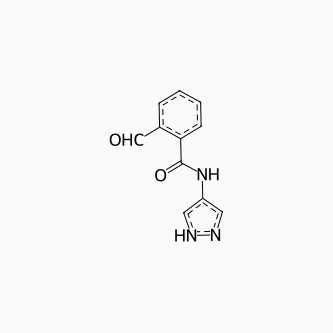 O=Cc1ccccc1C(=O)Nc1cn[nH]c1